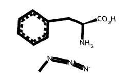 CN=[N+]=[N-].N[C@@H](Cc1ccccc1)C(=O)O